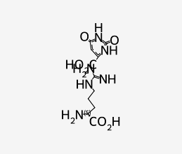 N=C(N)NCCC[C@H](N)C(=O)O.O=C(O)c1cc(=O)[nH]c(=O)[nH]1